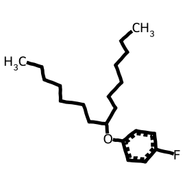 CCCCCCCC(CCCCCCC)Oc1ccc(F)cc1